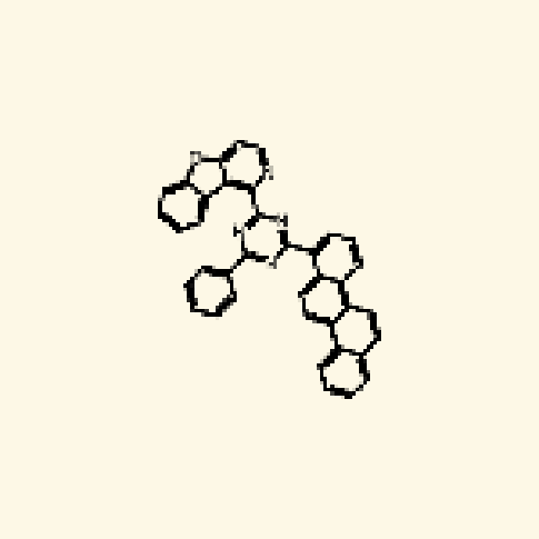 c1ccc(-c2nc(-c3cccc4c3ccc3c5ccccc5ccc43)nc(-c3nccc4oc5ccccc5c34)n2)cc1